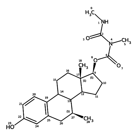 CNC(=O)N(C)C(=O)O[C@H]1CCC2C3C(CC[C@@]21C)c1ccc(O)cc1C[C@@H]3C